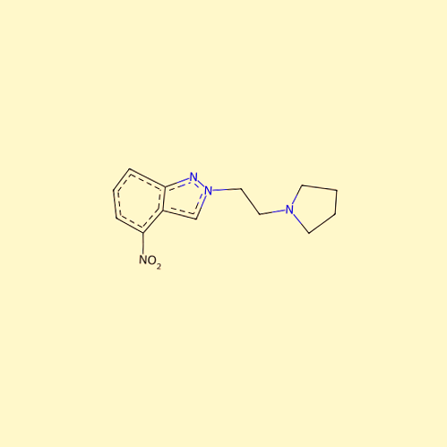 O=[N+]([O-])c1cccc2nn(CCN3CCCC3)cc12